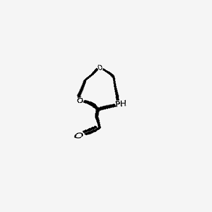 O=CC1OCOCP1